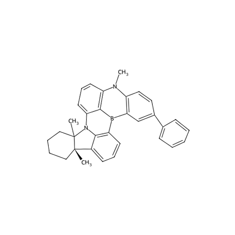 CN1c2ccc(-c3ccccc3)cc2B2c3cccc4c3N(c3cccc1c32)C1(C)CCCC[C@@]41C